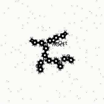 CCCCCCCCC1(CCCCCCCC)c2cc(-c3ccc4c(c3)CC4)ccc2-c2ccc(-n3c4ccc(-c5ccc6c(c5)CC6)cc4c4cc(-c5ccc6c(c5)c5cc(-c7ccc8c(c7)c7ccccc7n8-c7ccc8oc9ccccc9c8c7)ccc5n6-c5ccc6oc7ccccc7c6c5)ccc43)cc21